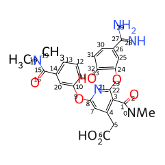 CNC(=O)c1c(CC(=O)O)cc(Oc2cccc(C(=O)N(C)C)c2)nc1Oc1cc(C(=N)N)ccc1O